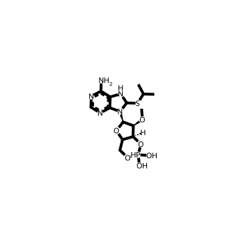 CO[C@@H]1[C@H](N2c3ncnc(N)c3NC2SC(C)C)OC2CO[PH](O)(O)O[C@@H]21